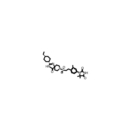 CC[C@H]1CC[C@H](C2=NC3(CCN(S(=O)(=O)CCc4ccc(N5C(=O)NC(=O)C5(C)C)cc4C)CC3)C(=O)N2)CC1